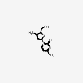 Nc1ccn([C@H]2CC(N)[C@@H](CO)O2)c(=O)n1